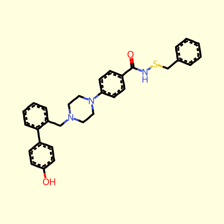 O=C(NSCc1ccccc1)c1ccc(N2CCN(Cc3ccccc3-c3ccc(O)cc3)CC2)cc1